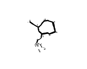 [CH2]C1CCCCC1CN